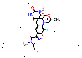 CCN(C)C(=O)c1noc2c(F)c3c(cc12)CC1(C(=O)NC(=O)NC1=O)[C@H]1[C@H](C)O[C@H](C)CN31